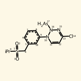 CC(C)S(=O)(=O)Cc1cccc(N2C=CC(Cl)=NN2[AsH2])c1